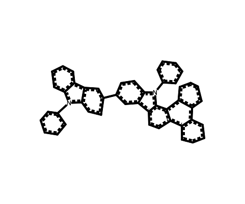 c1ccc(-n2c3ccccc3c3cc(-c4ccc5c(c4)c4ccc6c7ccccc7c7ccccc7c6c4n5-c4ccccc4)ccc32)cc1